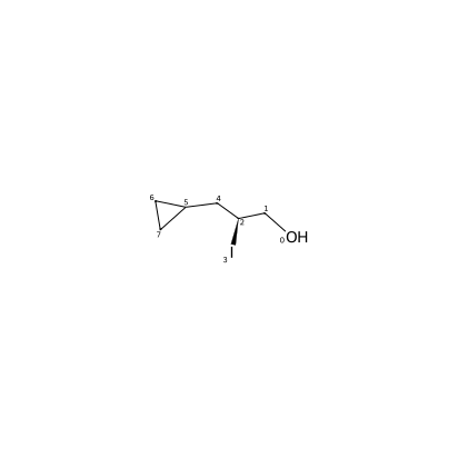 OC[C@@H](I)CC1CC1